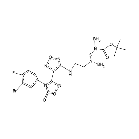 BN(CCNc1nonc1-c1noc(=O)n1-c1ccc(F)c(Br)c1)SN(B)C(=O)OC(C)(C)C